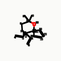 C=C[Si]1(C=C)CCC(C)(C)O[Si]1(C=C)C=C